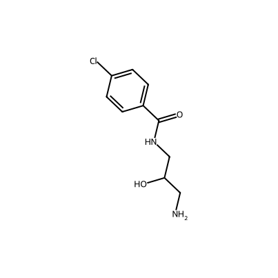 NCC(O)CNC(=O)c1ccc(Cl)cc1